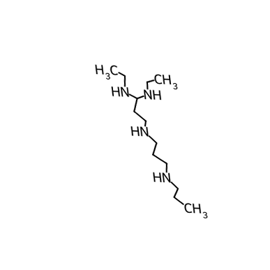 CCCNCCCNCCC(NCC)NCC